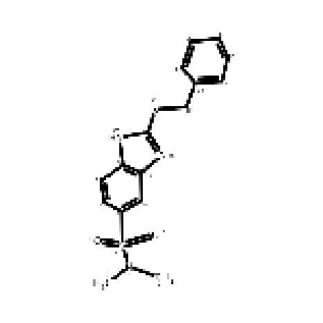 CN(C)S(=O)(=O)c1ccc2[nH]c(SCc3ccccc3)nc2c1